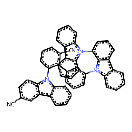 N#Cc1ccc2c(c1)c1ccccc1n2-c1cccc(C#N)c1-c1cccc(-n2c3ccccc3c3cccc(-n4c5ccccc5c5ccccc54)c32)c1